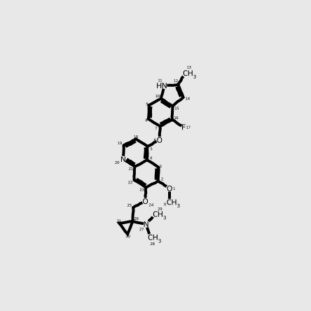 COc1cc2c(Oc3ccc4[nH]c(C)cc4c3F)ccnc2cc1OCC1(N(C)C)CC1